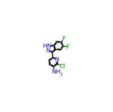 Nc1ccc(-c2n[nH]c3cc(F)c(F)cc23)nc1Cl